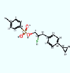 Cc1ccc(S(=O)(=O)OCC(F)Cc2ccc(C3CC3)cc2)cc1